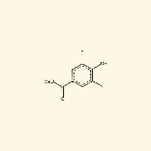 COC(=O)c1cc(F)c(O)c(I)c1